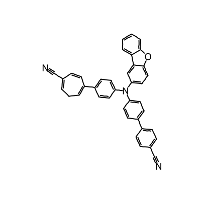 N#CC1=CCC=C(c2ccc(N(c3ccc(-c4ccc(C#N)cc4)cc3)c3ccc4oc5ccccc5c4c3)cc2)C=C1